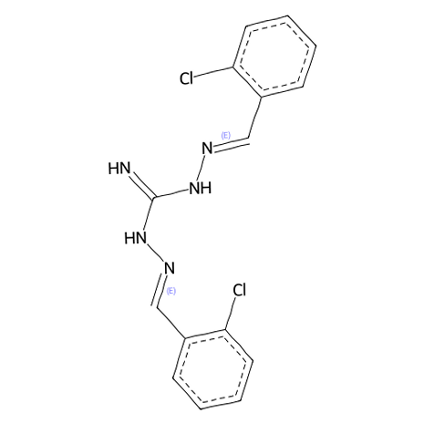 N=C(N/N=C/c1ccccc1Cl)N/N=C/c1ccccc1Cl